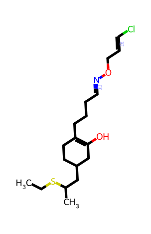 CCSC(C)CC1CCC(CCC/C=N/OC/C=C/Cl)=C(O)C1